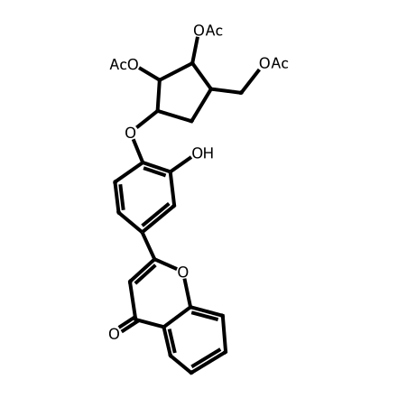 CC(=O)OCC1CC(Oc2ccc(-c3cc(=O)c4ccccc4o3)cc2O)C(OC(C)=O)C1OC(C)=O